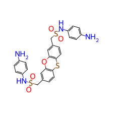 Nc1ccc(NS(=O)(=O)Cc2ccc3c(c2)Oc2cc(CS(=O)(=O)Nc4ccc(N)cc4)ccc2S3)cc1